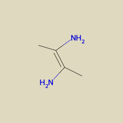 CC(N)=C(C)N